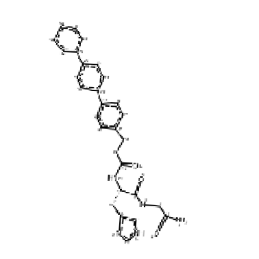 NC(=O)CNC(=O)[C@H](Cc1c[nH]cn1)NC(=O)CCc1ccc(-c2ccc(-c3ccccc3)cc2)cc1